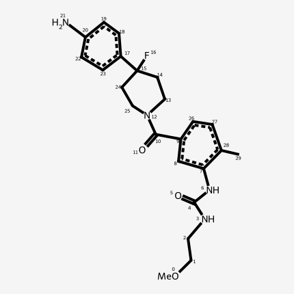 COCCNC(=O)Nc1cc(C(=O)N2CCC(F)(c3ccc(N)cc3)CC2)ccc1C